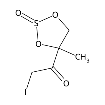 CC1(C(=O)CI)COS(=O)O1